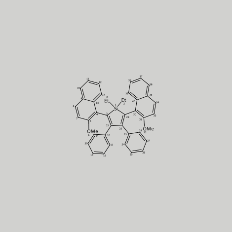 CC[Si]1(CC)C(c2c(OC)ccc3ccccc23)=C(c2ccccc2)C(c2ccccc2)=C1c1c(OC)ccc2ccccc12